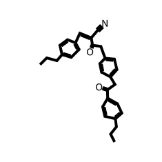 CCCc1ccc(C=C(C#N)C(=O)Cc2ccc(CC(=O)c3ccc(CCC)cc3)cc2)cc1